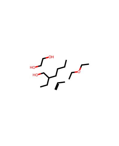 C=CC.CCCCC(CC)CO.CCOCC.OCCO